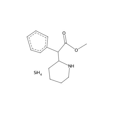 COC(=O)C(c1ccccc1)C1CCCCN1.[SiH4]